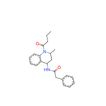 CCCC(=O)N1c2ccccc2C(NC(=O)Cc2ccccc2)CC1C